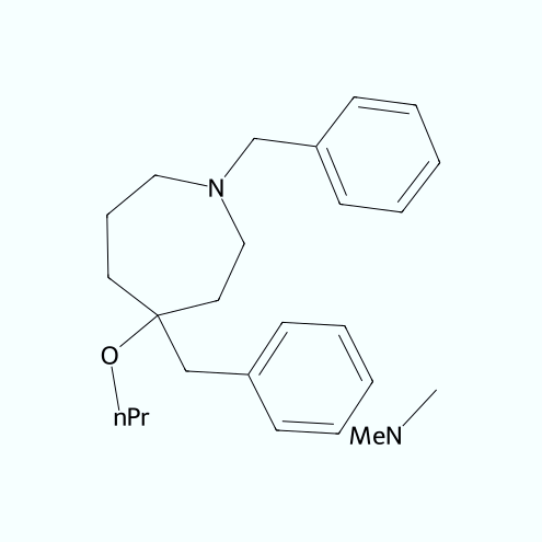 CCCOC1(Cc2ccccc2)CCCN(Cc2ccccc2)CC1.CNC